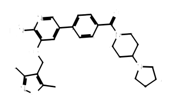 Cc1noc(C)c1COc1cc(-c2ccc(C(=O)N3CCC(N4CCCC4)CC3)cc2)cnc1N